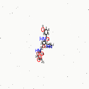 COc1cccc(C(=O)Nc2ccc(OCCNC(=O)OC(C)OC(C)=O)c(-c3ccnn3C)c2)c1